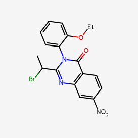 CCOc1ccccc1-n1c(C(C)Br)nc2cc([N+](=O)[O-])ccc2c1=O